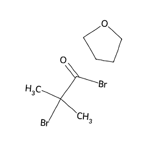 C1CCOC1.CC(C)(Br)C(=O)Br